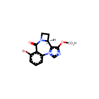 O=C(O)Oc1ncn2c1[C@@H]1CCN1C(=O)c1c(Br)cccc1-2